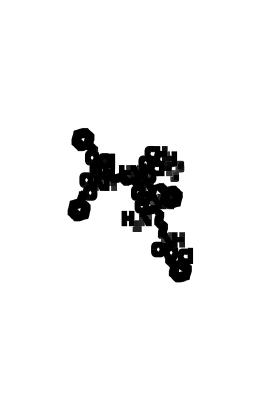 CC(C)(C)OC(=O)N[C@H](CCCN/C(=N\C(=O)OCc1ccccc1)NC(=O)OCc1ccccc1)C(=O)N[C@@H](Cc1ccccc1)C(=O)N[C@@H](CCCCNC(=O)OCc1ccccc1Cl)C(N)=O